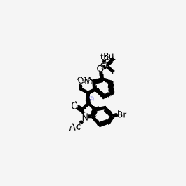 COC/C(=C1\C(=O)N(C(C)=O)c2ccc(Br)cc21)c1cccc(O[Si](C)(C)C(C)(C)C)c1